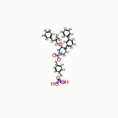 O=C(OCc1ccc(CON(O)O)cc1)N1CC[C@H](c2cccc(-c3ccccc3)c2)C(OCC2(Cc3ccccc3)CC2)C1